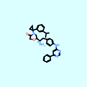 CC(C)c1cccc(C2(N3CC([C@@H](N)Cc4ccc(Nc5cc(-c6ccccc6)ncn5)cc4)OCC3=O)CC2)c1